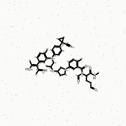 CNC(=O)C(CCC=O)N(C=O)C(=O)c1cc(N2CCC(OC(C)CN(c3ccc(C4(C#N)CC4)cc3)c3cc(/C(C(C)=N)=C(\C)O)ccc3C)C2)ccc1C